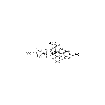 COc1ccc(N2CCN(C(=O)c3ccccc3C(c3ccc(OC(C)=O)cc3)c3ccc(OC(C)=O)cc3)CC2)cc1